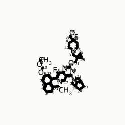 CCc1cccc2cc(OCOC)cc(-c3ncc4c(N5CC6CCC(C6)C5)nc(OCC5(CN6CCC(F)(C=O)CC6)CC5)nc4c3F)c12